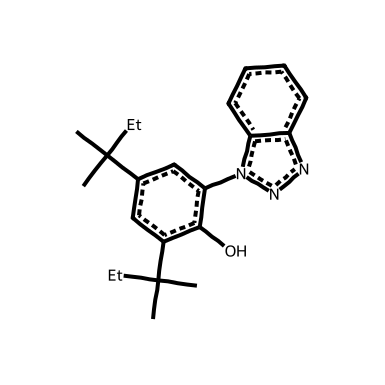 CCC(C)(C)c1cc(-n2nnc3ccccc32)c(O)c(C(C)(C)CC)c1